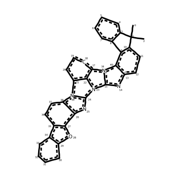 CC1(C)c2ccccc2-c2c1ccc1nc3n(c4cccc5c4n3c3nc4c6oc7ccccc7c6ccc4n53)c21